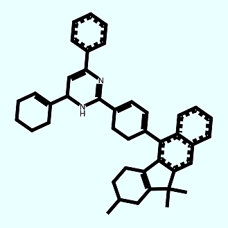 CC1CCC2=C(C1)C(C)(C)c1cc3ccccc3c(C3=CC=C(C4=NC(c5ccccc5)=CC(C5=CCCCC5)N4)CC3)c12